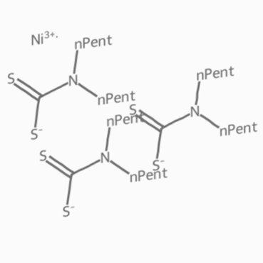 CCCCCN(CCCCC)C(=S)[S-].CCCCCN(CCCCC)C(=S)[S-].CCCCCN(CCCCC)C(=S)[S-].[Ni+3]